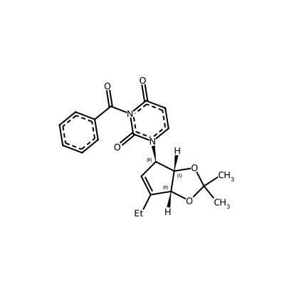 CCC1=C[C@@H](n2ccc(=O)n(C(=O)c3ccccc3)c2=O)[C@@H]2OC(C)(C)O[C@H]12